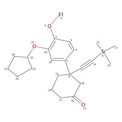 CCOc1ccc(C2(C#C[Si](C)(C)C)CCCC(=O)C2)cc1OC1CCCC1